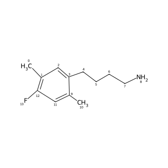 Cc1cc(CCCCN)c(C)cc1F